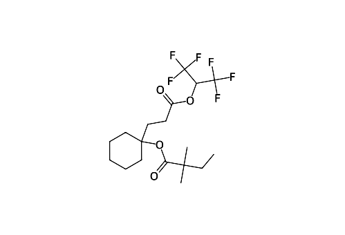 CCC(C)(C)C(=O)OC1(CCC(=O)OC(C(F)(F)F)C(F)(F)F)CCCCC1